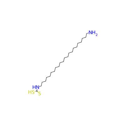 NCCCCCCCCCCCCCCCCCCCCCCNC(=S)S